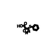 O=C(O)c1onnc1Sc1ccccc1